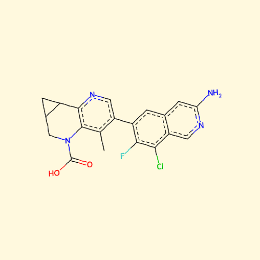 Cc1c(-c2cc3cc(N)ncc3c(Cl)c2F)cnc2c1N(C(=O)O)CC1CC21